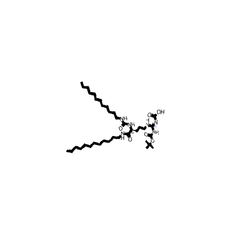 CCCCCCCCCCCCNC(=O)N[C@@H](CCCN/C(=N\C(=O)O)NC(=O)OC(C)(C)C)C(=O)NCCCCCCCCCCCC